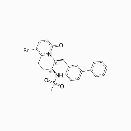 CS(=O)(=O)N[C@H]1CCc2c(Br)ccc(=O)n2[C@H]1Cc1cccc(-c2ccccc2)c1